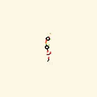 C=CCCOC1COC(c2cc(F)c(C(F)(F)Oc3cc(F)c(OC(F)(F)F)c(F)c3)c(F)c2)OC1